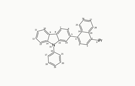 CC(C)c1ccc(-c2ccc3c4ccccc4n(-c4ccccc4)c3c2)c2ccccc12